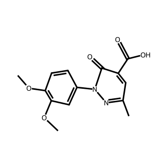 COc1ccc(-n2nc(C)cc(C(=O)O)c2=O)cc1OC